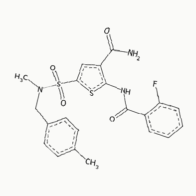 Cc1ccc(CN(C)S(=O)(=O)c2cc(C(N)=O)c(NC(=O)c3ccccc3F)s2)cc1